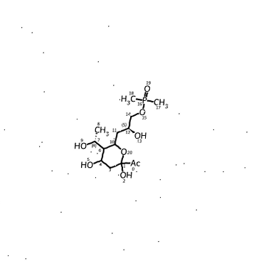 CC(=O)C1(O)CC(O)C([C@@H](C)O)C(C[C@H](O)COP(C)(C)=O)O1